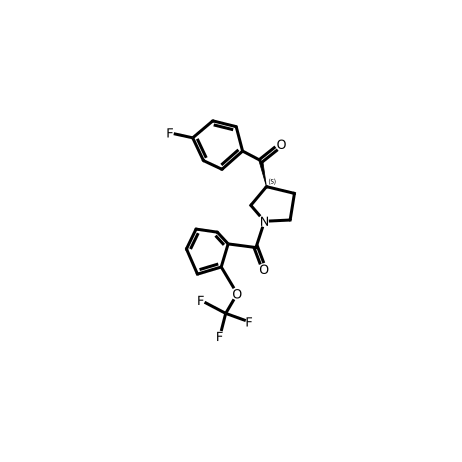 O=C(c1ccc(F)cc1)[C@H]1CCN(C(=O)c2ccccc2OC(F)(F)F)C1